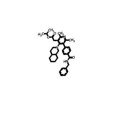 Cc1nc(C)c(-c2ccc(C(=O)NCc3ccccc3)cc2)c(N2CCC3CCCCC3C2)c1CC(=O)OC(C)C